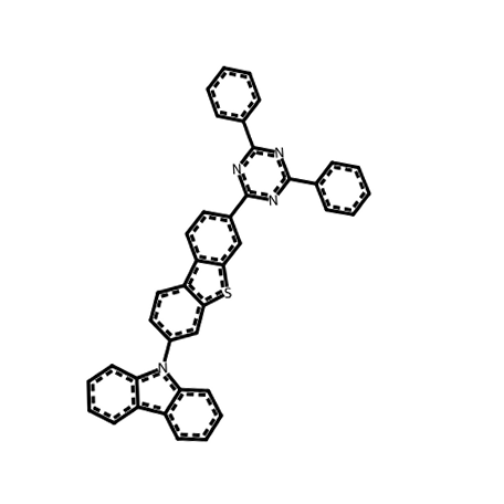 c1ccc(-c2nc(-c3ccccc3)nc(-c3ccc4c(c3)sc3cc(-n5c6ccccc6c6ccccc65)ccc34)n2)cc1